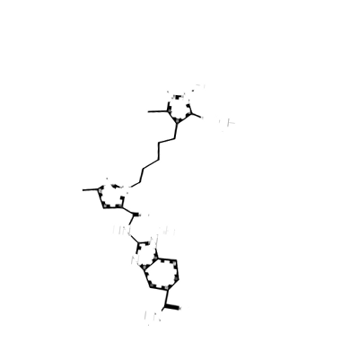 CCCn1c(NC(=O)c2cc(C)nn2CCCCCc2c(C)nn(CC)c2C(=O)O)nc2cc(C(N)=O)ccc21